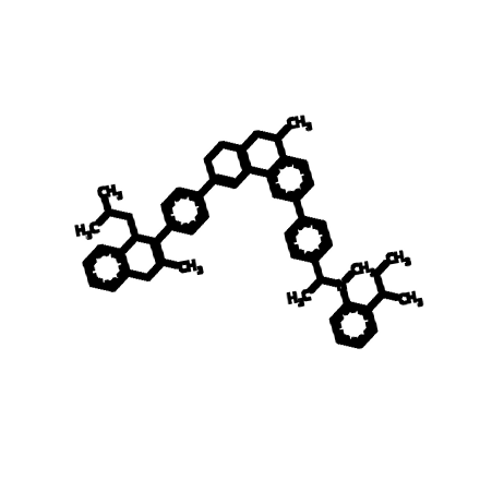 CCC(C)c1ccccc1N(C)C(C)c1ccc(-c2ccc3c(c2)C2=C(CCC(c4ccc(C5=C(C)Cc6ccccc6C5CC(C)C)cc4)=C2)CC3C)cc1